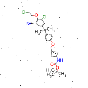 CC(C)(C)OC(=O)NC12CC(COc3ccc(C(C)(C)c4cc(Cl)c(OCCCl)c(C#N)c4)cc3)(C1)C2